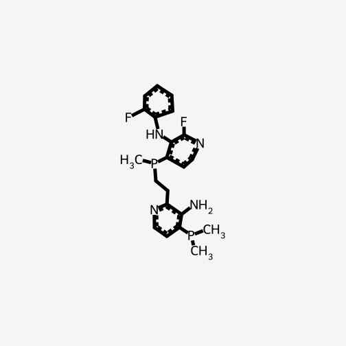 CP(C)c1ccnc(CCP(C)c2ccnc(F)c2Nc2ccccc2F)c1N